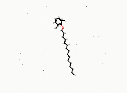 CCCCCCCCCCCCCCCCOc1c(C)cccc1C